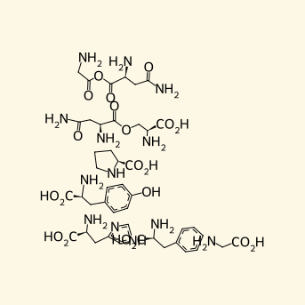 NC(=O)C[C@H](N)C(=O)OC[C@H](N)C(=O)O.NCC(=O)O.NCC(=O)OC(=O)[C@@H](N)CC(N)=O.N[C@@H](Cc1c[nH]cn1)C(=O)O.N[C@@H](Cc1ccc(O)cc1)C(=O)O.N[C@@H](Cc1ccccc1)C(=O)O.O=C(O)[C@@H]1CCCN1